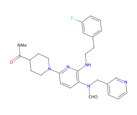 CNC(=O)C1CCN(c2ccc(N(C=O)Cc3cccnc3)c(NCCc3cccc(F)c3)n2)CC1